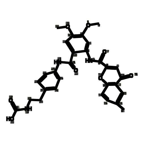 COc1cc(NC(=O)c2cc(=O)c3cc(C)ccc3o2)c(C(=O)Nc2ccc(CCNC(=O)O)cc2)cc1OC